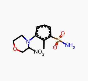 Cc1c(N2CCOCC2[N+](=O)[O-])cccc1S(N)(=O)=O